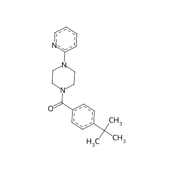 CC(C)(C)c1ccc(C(=O)N2CCN(c3ccccn3)CC2)cc1